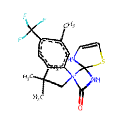 Cc1cc([N+]2(CC(C)(C)C)C(=O)NC23NC=CS3)ccc1C(F)(F)F